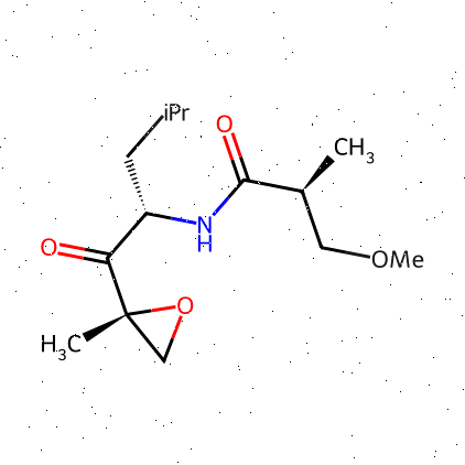 COC[C@H](C)C(=O)N[C@@H](CC(C)C)C(=O)[C@@]1(C)CO1